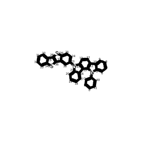 c1ccc(-n2c3ccccc3c3ccc4c(c5ccccc5n4-c4ccc5sc6c7ccccc7sc6c5c4)c32)cc1